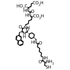 N[C@@H](CS)C(=O)NCCCCCC(=O)NC[C@H]1CC[C@H](C(=O)N[C@@H](Cc2ccc3ccccc3c2)C(=O)NCCCC[C@H](NC(=O)N[C@@H](CCC(=O)O)C(=O)O)C(=O)O)CC1